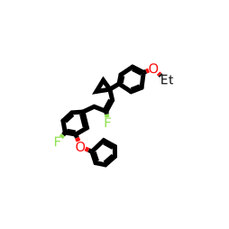 CCOc1ccc(C2(/C=C(/F)Cc3ccc(F)c(Oc4ccccc4)c3)CC2)cc1